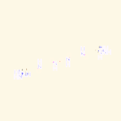 N=C1N[C@H]2CSC(CCCCC(=O)NCCCCCC(=O)NCCOCCNC(=O)CCCCCNC(=O)CCCCC3SC[C@@H]4NC(=N)N[C@H]34)[C@H]2N1